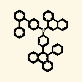 C1=CC2C=C(N(c3ccc(-c4ccccc4-c4ccccc4)cc3)C3C=CC(c4c(C5=CCCC=C5)c5ccccc5c5ccccc45)=CC3)c3ccccc3C2C=C1